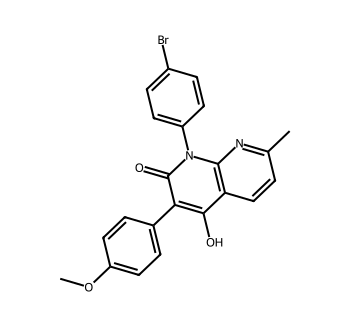 COc1ccc(-c2c(O)c3ccc(C)nc3n(-c3ccc(Br)cc3)c2=O)cc1